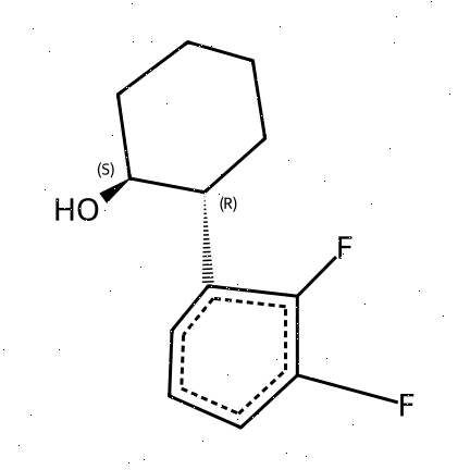 O[C@H]1CCCC[C@@H]1c1cccc(F)c1F